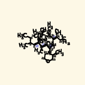 C=CN(C)C(=C\C(C)CC)/C(C)=C/C(=C\C(=C(\C)CC)N(C)S(C)(C)S)N1CCOCC1C